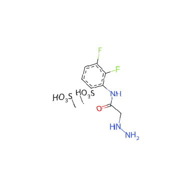 CS(=O)(=O)O.CS(=O)(=O)O.NNCC(=O)Nc1cccc(F)c1F